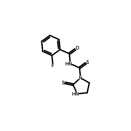 O=C(NC(=S)N1CCNC1=S)c1ccccc1F